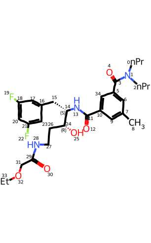 CCCN(CCC)C(=O)c1cc(C)cc(C(=O)N[C@@H](Cc2cc(F)cc(F)c2)[C@H](O)CCNC(=O)COCC)c1